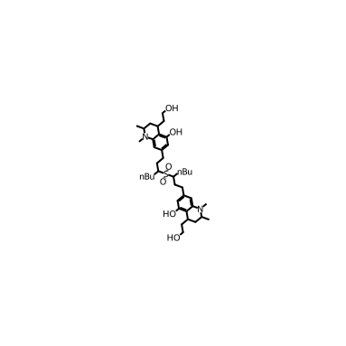 CCCCC(CCc1cc(O)c2c(c1)N(C)C(C)CC2CCO)S(=O)(=O)C(CCCC)CCc1cc(O)c2c(c1)N(C)C(C)CC2CCO